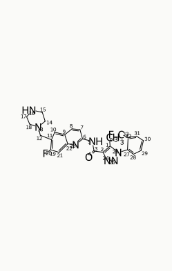 Cc1c(C(=O)Nc2ccc3cc(CN4CCNCC4)c(F)cc3n2)nnn1-c1ccccc1C(F)(F)F